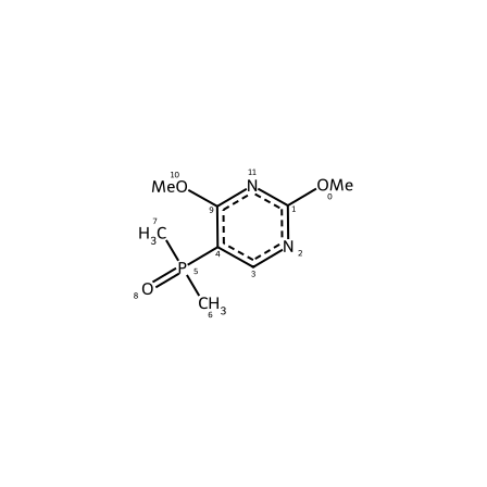 COc1ncc(P(C)(C)=O)c(OC)n1